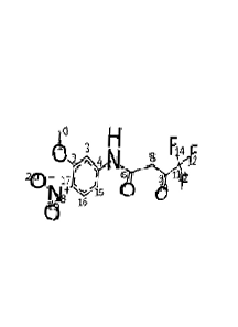 COc1cc(NC(=O)CC(=O)C(F)(F)F)ccc1[N+](=O)[O-]